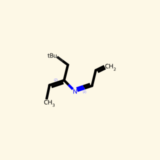 C=C/C=N\C(=C/C)CC(C)(C)C